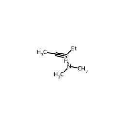 CC#[SH](CC)N(C)C